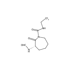 O=CN[C@H]1CCCCN(C(=O)NCC(F)(F)F)C1=O